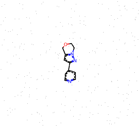 c1cc(-c2cc3n(n2)CCOC3)ccn1